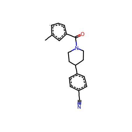 Cc1[c]ccc(C(=O)N2CCC(c3ccc(C#N)cc3)CC2)c1